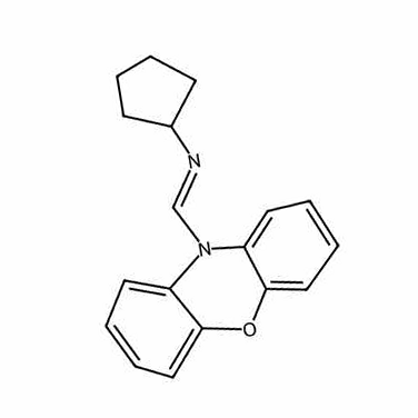 C(=NC1CCCC1)N1c2ccccc2Oc2ccccc21